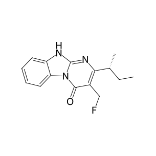 CC[C@@H](C)c1nc2[nH]c3ccccc3n2c(=O)c1CF